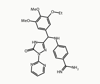 CCOc1cc(C(Nc2ccc(C(=N)N)cc2)c2nn(-c3ncccn3)c(=O)[nH]2)cc(OC)c1OC